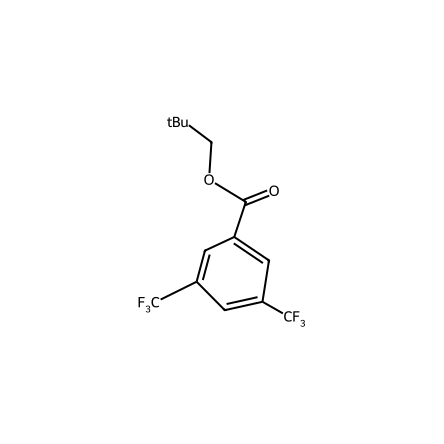 CC(C)(C)COC(=O)c1cc(C(F)(F)F)cc(C(F)(F)F)c1